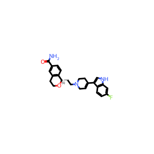 NC(=O)c1ccc2c(c1)CCO[C@H]2CCN1CC=C(c2c[nH]c3cc(F)ccc23)CC1